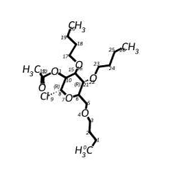 CCCCOCC1O[C@H](Cl)C(OC(C)=O)C(OCCCC)[C@@H]1OCCCC